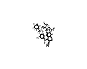 CCOc1cc2ncc(C#N)c(Nc3ccc(OCc4ccccn4)c(C)c3)c2cc1NC(=O)C(=O)N(C)C